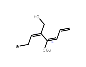 C=C/C=C(OCC(C)C)\C(=C/CBr)CO